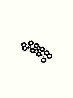 C1=CCCC(N(C2=C3C=CCCC3=CCC2)c2ccc3c(c2)C2(c4ccccc4-c4ccccc42)c2cc(N(c4ccccc4)C4C=CC=C5C=CC=CC54)ccc2-3)=C1